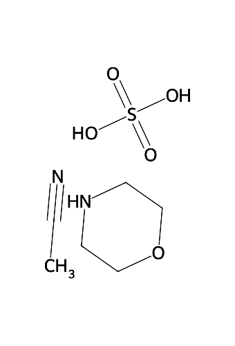 C1COCCN1.CC#N.O=S(=O)(O)O